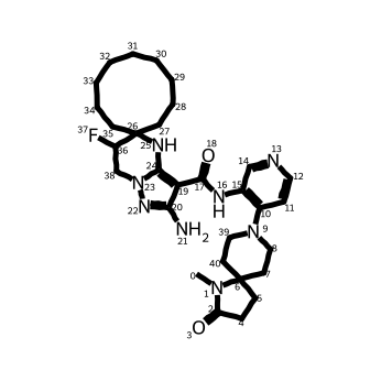 CN1C(=O)CCC12CCN(c1ccncc1NC(=O)c1c(N)nn3c1NC1(CCCCCCCCC1)C(F)C3)CC2